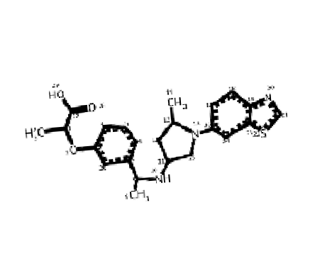 CC(Oc1cccc(C(C)NC2CC(C)N(c3ccc4ncsc4c3)C2)c1)C(=O)O